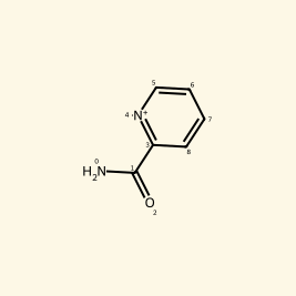 NC(=O)C1=[N+]C=CC=C1